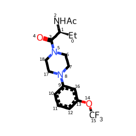 CC[C@H](NC(C)=O)C(=O)N1CCN(c2cccc(OC(F)(F)F)c2)CC1